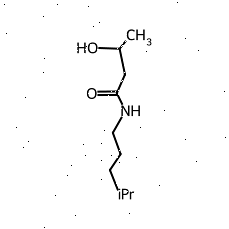 CC(C)CCCNC(=O)CC(C)O